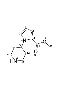 COC(=O)c1cccn1C1CCNCC1